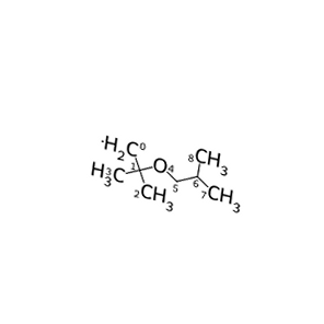 [CH2]C(C)(C)OCC(C)C